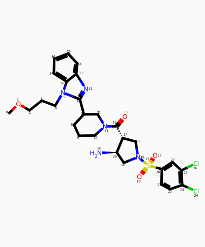 COCCCn1c(C2CCCN(C(=O)[C@@H]3CN(S(=O)(=O)c4ccc(Cl)c(Cl)c4)C[C@H]3N)C2)nc2ccccc21